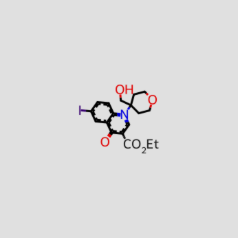 CCOC(=O)c1cn(C2(CO)CCOCC2)c2ccc(I)cc2c1=O